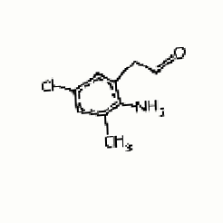 Cc1cc(Cl)cc(CC=O)c1N